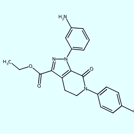 CCOC(=O)c1nn(-c2cccc(N)c2)c2c1CCN(c1ccc(I)cc1)C2=O